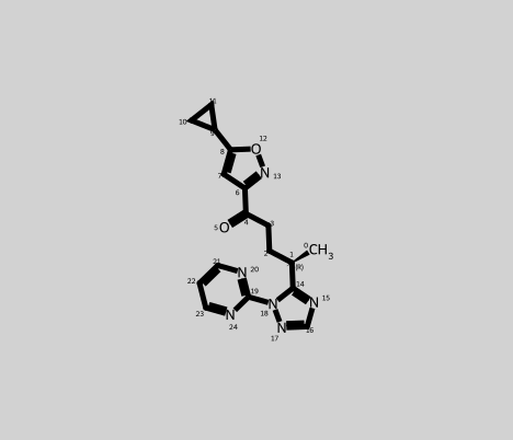 C[C@H](CCC(=O)c1cc(C2CC2)on1)c1ncnn1-c1ncccn1